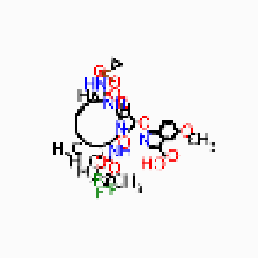 CC[C@@H]1C[C@H](C)CCC=C[C@@H]2C[C@@]2(C(=O)NS(=O)(=O)C2CC2)NC(=O)[C@@H]2C[C@@H](Oc3ncc(C(=O)O)c4cc(OC)ccc34)CN2C(=O)[C@H]1NC(=O)OC(C)(C)C(F)(F)F